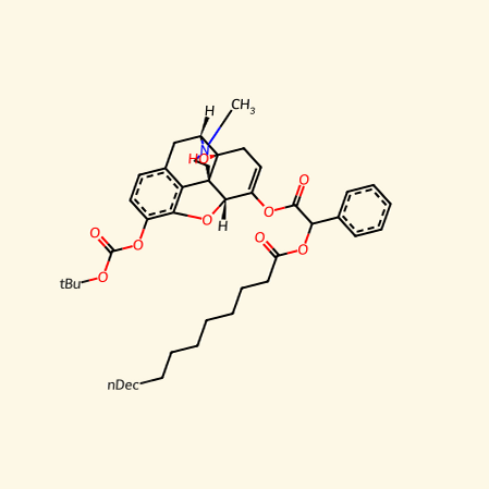 CCCCCCCCCCCCCCCCCC(=O)OC(C(=O)OC1=CC[C@@]2(O)[C@H]3Cc4ccc(OC(=O)OC(C)(C)C)c5c4[C@@]2(CCN3C)[C@H]1O5)c1ccccc1